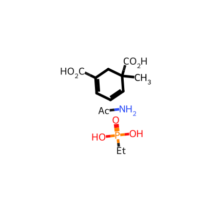 CC(N)=O.CC1(C(=O)O)C=CC=C(C(=O)O)C1.CCP(=O)(O)O